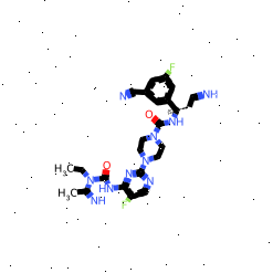 CCN(C(C)=N)C(=O)Nc1nc(N2CCN(C(=O)N[C@@H](CC=N)c3cc(F)cc(C#N)c3)CC2)ncc1F